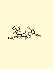 CCOC(=O)n1nc2c(c1NC(=O)C1([Si](C)(C)C)CCC1)CN(C(=O)Nc1cc(OC)ccc1Cl)C2(C)C